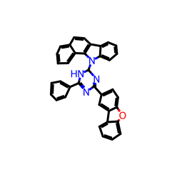 c1ccc(C2=NC(c3ccc4oc5ccccc5c4c3)=NC(n3c4ccccc4c4ccc5ccccc5c43)N2)cc1